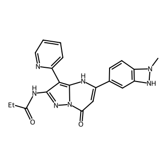 CCC(=O)Nc1nn2c(=O)cc(-c3ccc4c(c3)[nH]n4C)[nH]c2c1-c1ccccn1